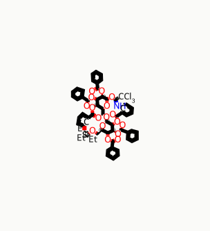 CC[Si](CC)(CC)OC[C@H]1O[C@@H](OCC2OC(OC(=N)C(Cl)(Cl)Cl)[C@H](OC(=O)c3ccccc3)C(OC(=O)c3ccccc3)[C@@H]2OC(=O)c2ccccc2)C(OC(=O)c2ccccc2)[C@@H](OC(=O)c2ccccc2)C1OC(=O)c1ccccc1